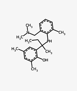 CCC(C)(Pc1c(C)cccc1CN(C)C)c1cc(C)cc(C)c1O